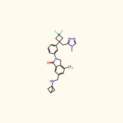 Cn1cnnc1CC1(c2cccc(N3Cc4c(cc(CNC56CC(C5)C6)cc4C(F)(F)F)C3=O)c2)CC(F)(F)C1